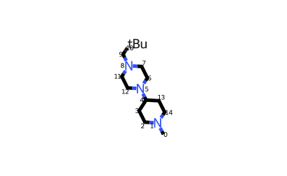 CN1CCC(N2CCN(CC(C)(C)C)CC2)CC1